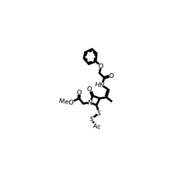 COC(=O)CN1C(=O)C(C(C)=CNC(=O)COc2ccccc2)C1SSC(C)=O